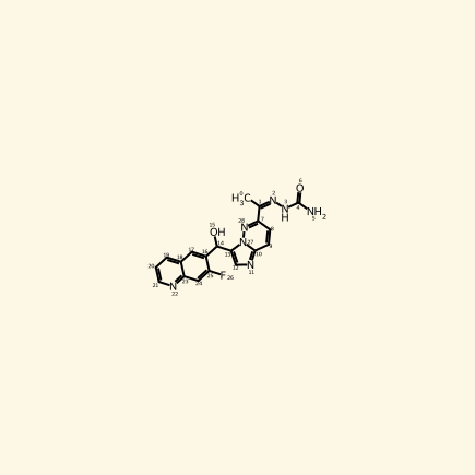 C/C(=N/NC(N)=O)c1ccc2ncc(C(O)c3cc4cccnc4cc3F)n2n1